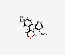 COc1ccc(F)c(-c2ccc(CC(C)C)cc2C2=CCOCC2)c1